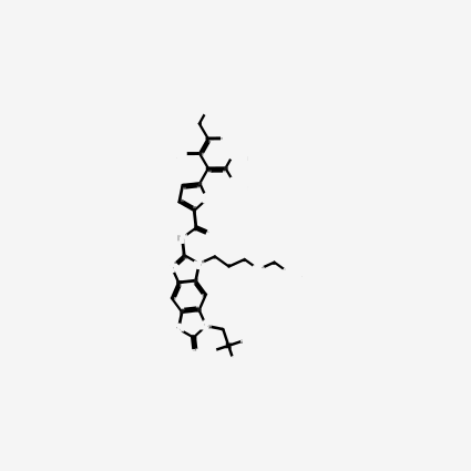 CCOCCCn1c(NC(=O)c2ccc(C(=C(C)C)/C(C)=C(\C)CC)s2)nc2cc3[nH]c(=O)n(CC(F)(F)F)c3cc21